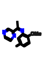 COc1ccc(C)cc1N=C(C)c1cnccn1